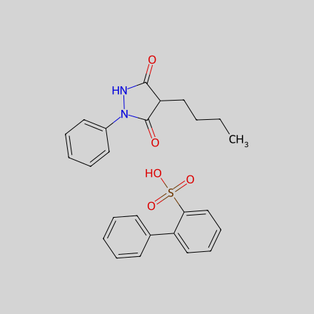 CCCCC1C(=O)NN(c2ccccc2)C1=O.O=S(=O)(O)c1ccccc1-c1ccccc1